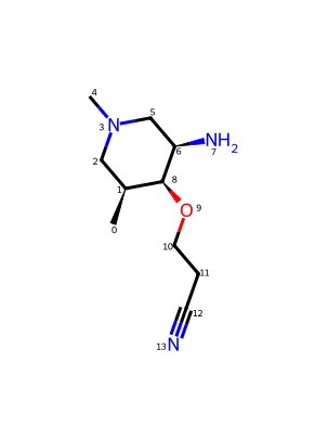 C[C@H]1CN(C)C[C@@H](N)[C@H]1OCCC#N